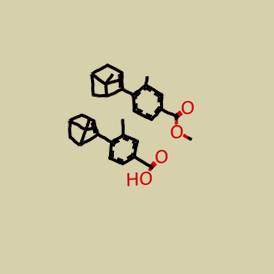 COC(=O)c1ccc(C2=CCC3CC2C3(C)C)c(C)c1.Cc1cc(C(=O)O)ccc1C1=CCC2CC1C2(C)C